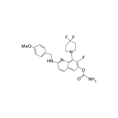 COc1ccc(CNc2ccc3cc(OC(N)=O)c(F)c(N4CCC(F)(F)CC4)c3n2)cc1